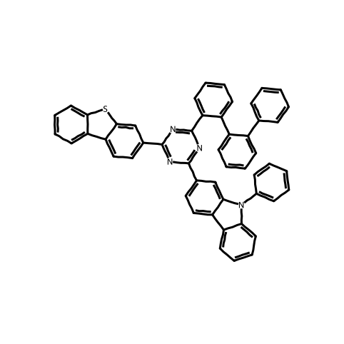 c1ccc(-c2ccccc2-c2ccccc2-c2nc(-c3ccc4c(c3)sc3ccccc34)nc(-c3ccc4c5ccccc5n(-c5ccccc5)c4c3)n2)cc1